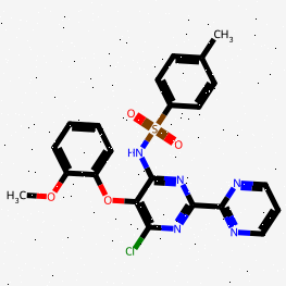 COc1ccccc1Oc1c(Cl)nc(-c2ncccn2)nc1NS(=O)(=O)c1ccc(C)cc1